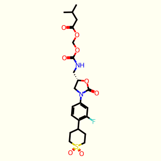 CC(C)CC(=O)OCOC(=O)NC[C@H]1CN(c2ccc(C3CCS(=O)(=O)CC3)c(F)c2)C(=O)O1